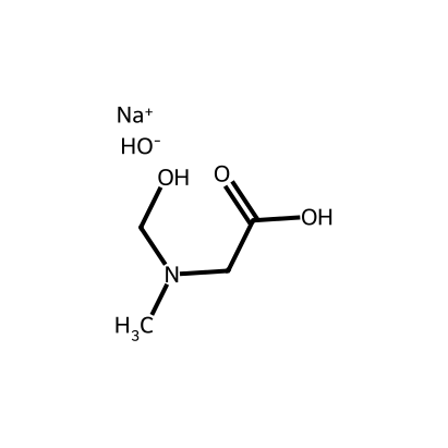 CN(CO)CC(=O)O.[Na+].[OH-]